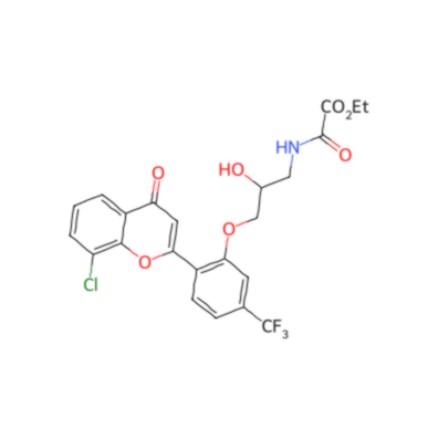 CCOC(=O)C(=O)NCC(O)COc1cc(C(F)(F)F)ccc1-c1cc(=O)c2cccc(Cl)c2o1